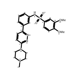 COc1ccc(S(=O)(=O)Nc2cccc(-c3ccc(N4CCN(C)CC4)nn3)c2)cc1OC